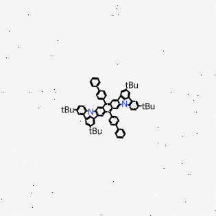 CC(C)(C)c1ccc2c(c1)c1cc(C(C)(C)C)cc3c4cc5c(-c6ccc(-c7ccccc7)cc6)c6cc7c(cc6c(-c6ccc(-c8ccccc8)cc6)c5cc4n2c13)c1cc(C(C)(C)C)cc2c3cc(C(C)(C)C)ccc3n7c21